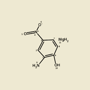 Nc1cc([N+](=O)[O-])ccc1O.[MgH2]